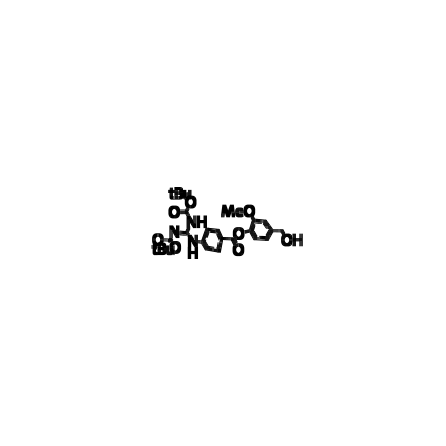 COc1cc(CO)ccc1OC(=O)c1ccc(N/C(=N\C(=O)OC(C)(C)C)NC(=O)OC(C)(C)C)cc1